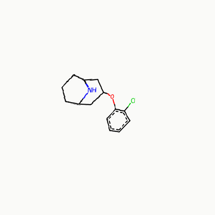 Clc1ccccc1OC1CC2CCCC(C1)N2